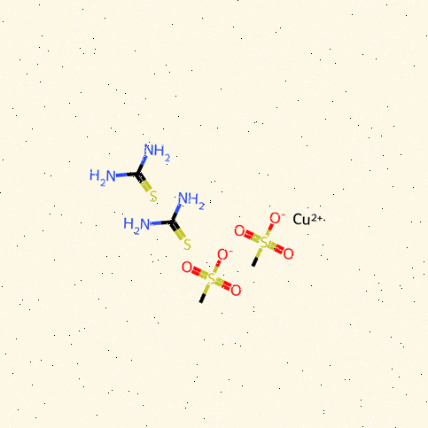 CS(=O)(=O)[O-].CS(=O)(=O)[O-].NC(N)=S.NC(N)=S.[Cu+2]